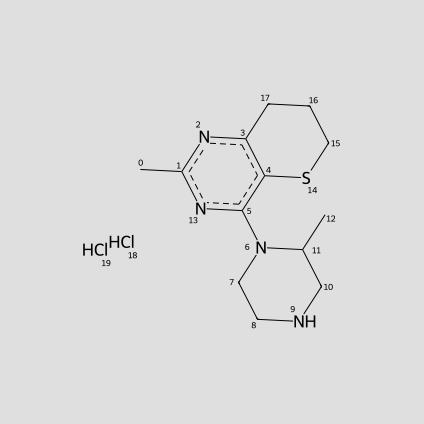 Cc1nc2c(c(N3CCNCC3C)n1)SCCC2.Cl.Cl